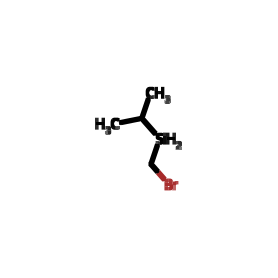 CC(C)[SiH2]CBr